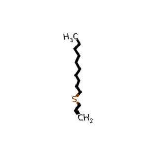 C=CCSCCCCCCCCCC